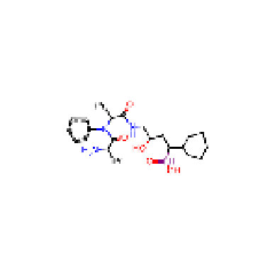 CC(C)[C@@H](C(=O)NC[C@H](O)CC(C1CCCCC1)[PH](=O)O)N(C(=O)[C@H](N)C(C)C)c1ccccc1